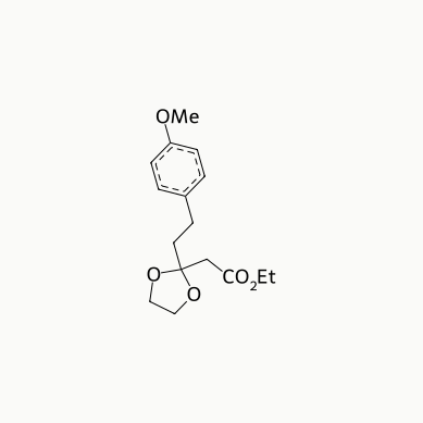 CCOC(=O)CC1(CCc2ccc(OC)cc2)OCCO1